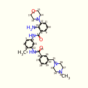 Cc1ccc(NC(=O)c2cccc(N3CCOCC3)c2N)cc1NC(=O)c1cccc(CN2CCN(C)CC2)c1